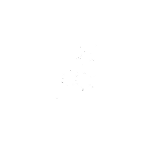 CCOC(=O)Cc1nccc2c(-c3noc(C)n3)cccc12